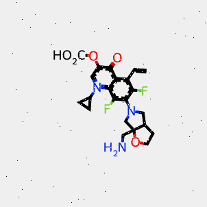 C=Cc1c(F)c(N2CC3CCOC3(CN)C2)c(F)c2c1c(=O)c(OC(=O)O)cn2C1CC1